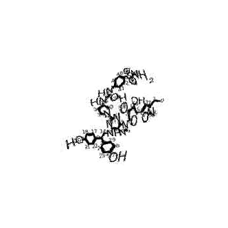 CCc1cc([C@H]2O[C@@H](n3cnc4c(NCC(c5ccc(O)cc5)c5ccc(O)cc5)nc(N5CC[C@@H](NC(=O)Nc6ccc(S(N)(=O)=O)cc6)C5)nc43)[C@@H](O)[C@@H]2O)on1